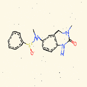 CN1Cc2cc(N(C)[S@@+]([O-])c3ccccc3)ccc2NC1=O